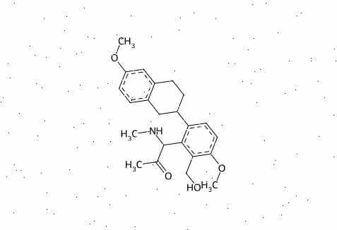 CNC(C(C)=O)c1c(C2CCc3cc(OC)ccc3C2)ccc(OC)c1CO